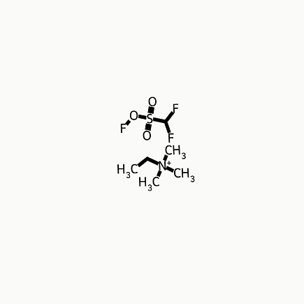 CC[N+](C)(C)C.O=S(=O)(OF)C(F)F